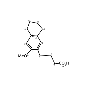 COc1cc2c(cc1CCCC(=O)O)CCCC2